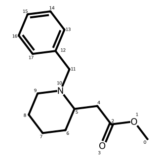 COC(=O)CC1CCCCN1Cc1ccccc1